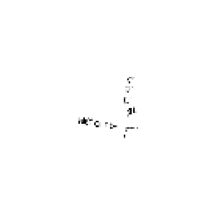 CCC(C)(C)N.[Cl-].[Cl-].[Cl-].[Cl-].[Cl-].[Nb+5]